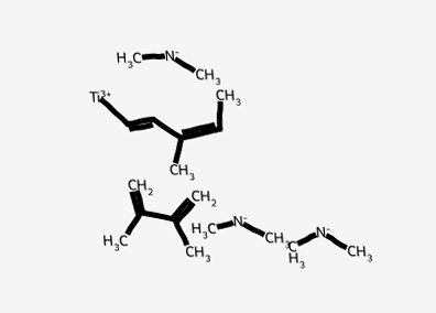 C=C(C)C(=C)C.CC=C(C)C=[CH][Ti+3].C[N-]C.C[N-]C.C[N-]C